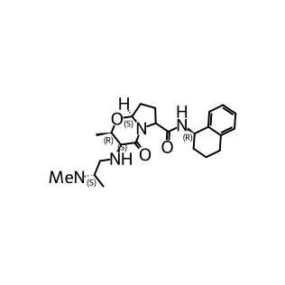 CN[C@@H](C)CN[C@@H]1C(=O)N2C(C(=O)N[C@@H]3CCCc4ccccc43)CC[C@@H]2O[C@@H]1C